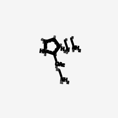 CC(=O)Oc1ccn[nH]1.CN.CN.CN